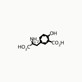 N[C@@H](Cc1ccc(O)c(C(=O)O)c1)C(=O)O